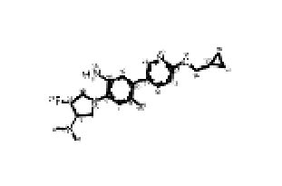 CN(C)[C@@H]1CN(c2cc(F)c(-c3ccc(OCC4CC4)nc3)cc2N)C[C@@H]1F